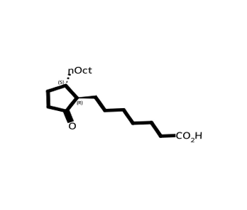 CCCCCCCC[C@H]1CCC(=O)[C@@H]1CCCCCCC(=O)O